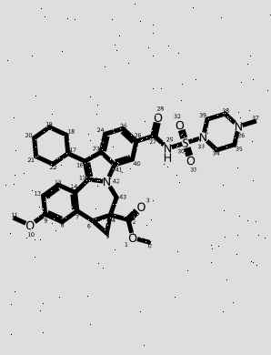 COC(=O)C12CC1c1cc(OC)ccc1-c1c(C3CCCCC3)c3ccc(C(=O)NS(=O)(=O)N4CCN(C)CC4)cc3n1C2